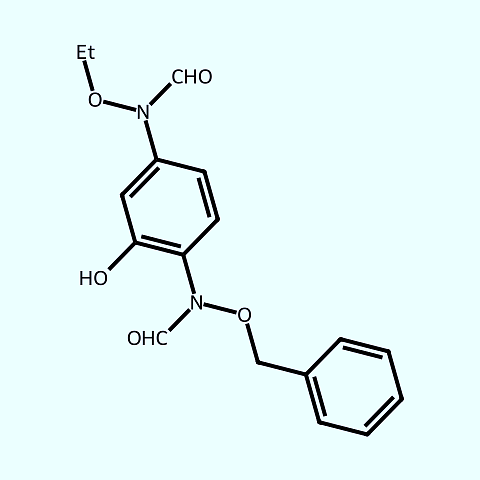 CCON(C=O)c1ccc(N(C=O)OCc2ccccc2)c(O)c1